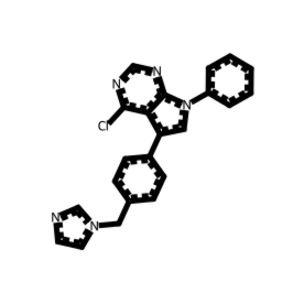 Clc1ncnc2c1c(-c1ccc(Cn3ccnc3)cc1)cn2-c1ccccc1